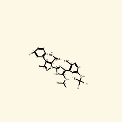 Cc1nn(-c2nc(-c3cc(OC(F)(F)F)ccc3Cl)c(SC(C)C)s2)c(C(=O)O)c1-c1cccc(F)c1